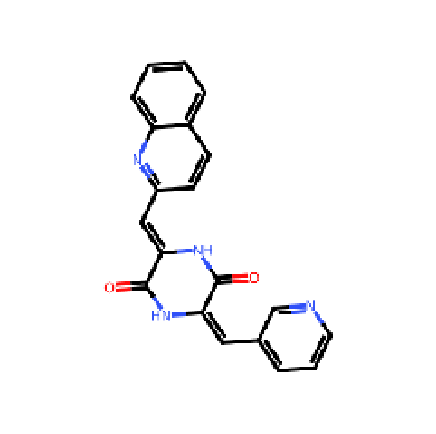 O=c1[nH]/c(=C/c2cccnc2)c(=O)[nH]/c1=C\c1ccc2ccccc2n1